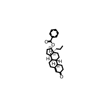 CCC[C@]12CC[C@H]3[C@@H](CCC4=CC(=O)CC[C@@H]43)[C@@H]1CC[C@@H]2OC(=O)c1ccccc1